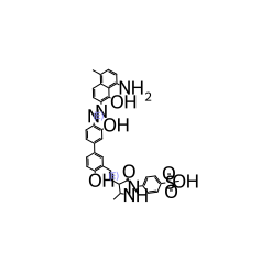 Cc1ccc(N)c2c(O)c(/N=N/c3ccc(-c4ccc(O)c(/C=C/C5C(=O)N(c6ccc(S(=O)(=O)O)cc6)NC5C)c4)cc3O)ccc12